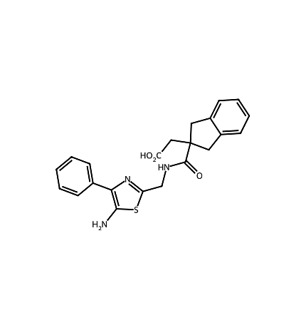 Nc1sc(CNC(=O)C2(CC(=O)O)Cc3ccccc3C2)nc1-c1ccccc1